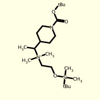 CC(C1CCN(C(=O)OC(C)(C)C)CC1)[N+](C)(C)CCO[Si](C)(C)C(C)(C)C